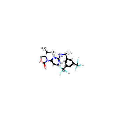 CC(C)[C@H]1COC(=O)N1c1ccnc(N[C@@H](C)c2cc(C(F)(F)F)cc(C(F)(F)F)c2)n1